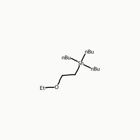 CCC[CH2][Sn]([CH2]CCC)([CH2]CCC)[CH2]COCC